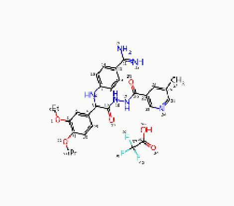 CCOc1cc(C(Nc2ccc(C(=N)N)cc2)C(=O)NNC(=O)c2cncc(C)c2)ccc1OC(C)C.O=C(O)C(F)(F)F